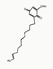 CCCCC=CCCCCCCCCCC1=CC(=O)C=C(OC)C1=O